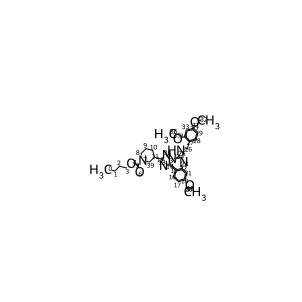 CCCCOC(=O)N1CCCC(c2nc3c4ccc(OC)cc4nc(NCc4ccc(OC)cc4OC)n3n2)C1